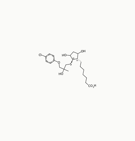 CC(O)(COc1ccc(Cl)cc1)CS[C@H]1C(O)CC(O)[C@@H]1CCCCCCC(=O)O